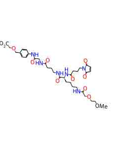 COCCOCC(=O)NCCCC[C@H](NC(=O)CCCN1C(=O)C=CC1=O)C(=O)NCCCC(=O)NCC(=O)Nc1ccc(COCC(=O)O)cc1